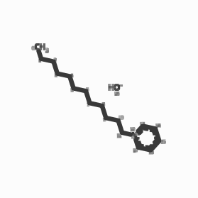 CCCCCCCCCCCC[n+]1ccccc1.[OH-]